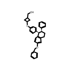 OCC1CC(Oc2ccc([C@@H]3c4ccc(OCc5ccccc5)cc4CC[C@@H]3c3ccccc3)cc2)C1